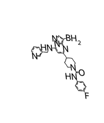 Bc1cnn2c(NCc3cccnc3)cc(C3CCN(C(=O)Nc4ccc(F)cc4)CC3)nc12